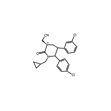 N#CC[C@H]1CC(c2cccc(Cl)c2)C(c2ccc(Cl)cc2)N(CC2CC2)C1=O